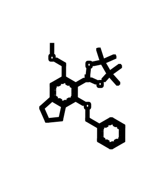 COCc1cc2c(c(OCc3ccccc3)c1B1OC(C)(C)C(C)(C)O1)CCC2